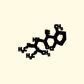 CCN(C(=O)NC(=NC)N(C)C)c1c(C)cccc1Cl